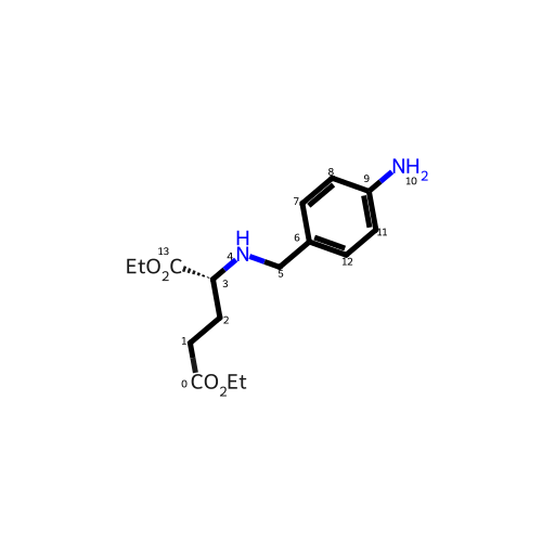 CCOC(=O)CC[C@@H](NCc1ccc(N)cc1)C(=O)OCC